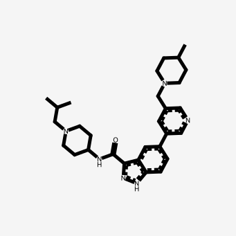 CC(C)CN1CCC(NC(=O)c2n[nH]c3ccc(-c4cncc(CN5CCC(C)CC5)c4)cc23)CC1